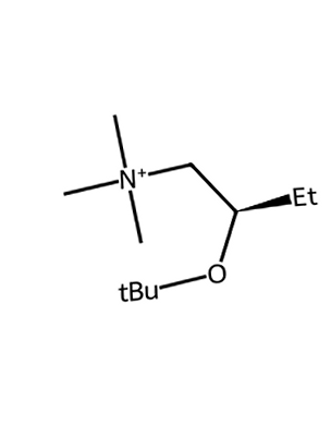 CC[C@H](C[N+](C)(C)C)OC(C)(C)C